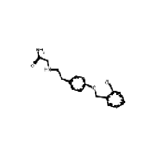 NC(=O)CNCCc1ccc(OCc2ccccc2Cl)cc1